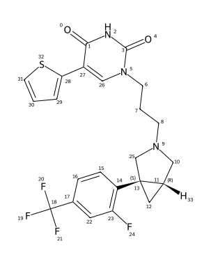 O=c1[nH]c(=O)n(CCCN2C[C@@H]3C[C@]3(c3ccc(C(F)(F)F)cc3F)C2)cc1-c1cccs1